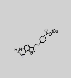 C/C=C\c1c(N)ccc2c(CCC3CCN(C(=O)OC(C)(C)C)CC3)noc12